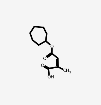 C/C(=C/C(=O)OC1CCCCCC1)C(=O)O